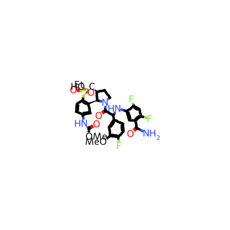 CCS(=O)(=O)c1ccc(NC(=O)OC)cc1[C@H]1[C@@H](C(=O)O)CCN1C(=O)C(Nc1cc(C(N)=O)c(F)cc1F)c1ccc(F)c(OC)c1